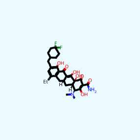 CCc1cc(CC2CCC(F)(F)CC2)c(O)c2c1C[C@H]1C[C@H]3[C@H](N(C)C)C(O)=C(C(N)=O)C(=O)[C@@]3(O)C(O)=C1C2=O